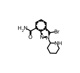 NC(=O)c1cccc2c(Br)n(C3CCCCN3)nc12